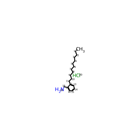 CCCCCCCCCCCCc1ccccc1CN.Cl